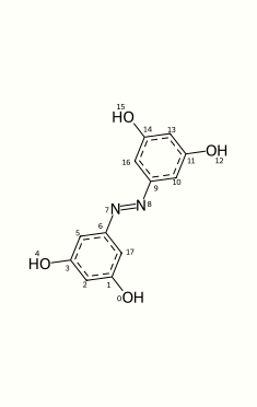 Oc1cc(O)cc(/N=N/c2cc(O)cc(O)c2)c1